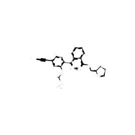 CC#Cc1ccc(-c2nnc(NCC3CCCO3)c3ccccc23)c(OCOCC)c1